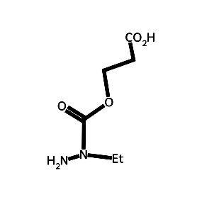 [CH2]CN(N)C(=O)OCCC(=O)O